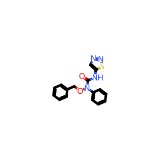 O=C(Nc1cnns1)N(OCc1ccccc1)c1ccccc1